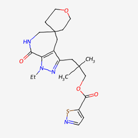 CCn1nc(CC(C)(C)COC(=O)c2ccns2)c2c1C(=O)NCC1(CCOCC1)C2